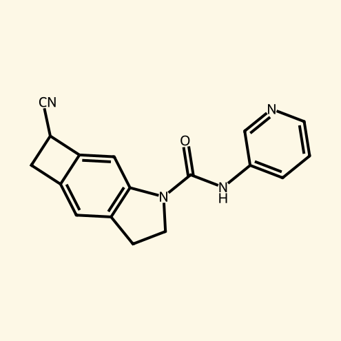 N#CC1Cc2cc3c(cc21)N(C(=O)Nc1cccnc1)CC3